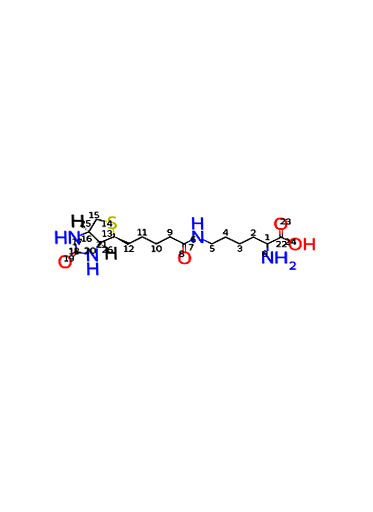 NC(CCCCNC(=O)CCCC[C@@H]1SC[C@@H]2NC(=O)N[C@@H]21)C(=O)O